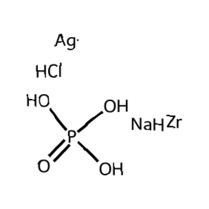 Cl.O=P(O)(O)O.[Ag].[NaH].[Zr]